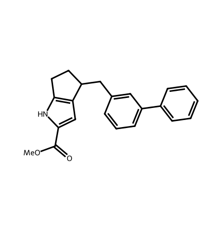 COC(=O)c1cc2c([nH]1)CCC2Cc1cccc(-c2ccccc2)c1